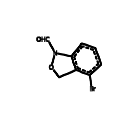 O=CN1OCc2c(Br)cccc21